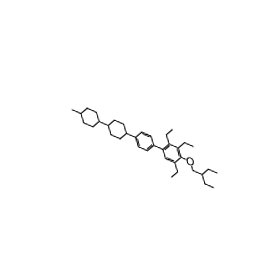 CCc1cc(-c2ccc(C3CCC(C4CCC(C)CC4)CC3)cc2)c(CC)c(CC)c1OCC(CC)CC